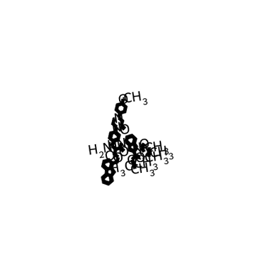 COC1CCC(N2CCN(c3ccc(C(N)C(C(=O)Nc4cccc5c4cc(C(=O)OC(C)(C)C)n5C(=O)OC(C)(C)C)C(=O)OCc4cccc5c4Cc4ccccc4-5)cc3)C(=O)C2)CC1